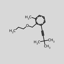 CCCOCc1c(C)cccc1C#CC(C)(C)C